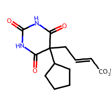 O=C(O)C=CCC1(C2CCCC2)C(=O)NC(=O)NC1=O